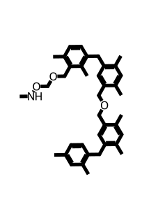 CNOCOCc1c(C)ccc(Cc2cc(COCc3cc(Cc4ccc(C)cc4C)c(C)cc3C)c(C)cc2C)c1C